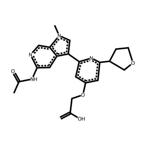 C=C(O)COc1cc(-c2cn(C)c3cnc(NC(C)=O)cc23)nc(C2CCOC2)c1